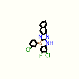 Fc1ccc(Nc2nc3cc4ccccc4cc3nc2Sc2cccc(Cl)c2)cc1Cl